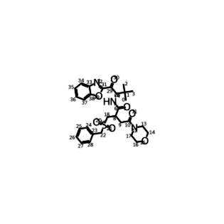 CC(C)(C)[C@H](NC(=O)C(CC(=O)N1CCOCC1)CS(=O)(=O)Cc1ccccc1)C(=O)c1nc2ccccc2o1